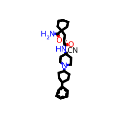 N#CC1(NC(=O)[CH]CC2(C(N)=O)CCCCC2)CCN(C2CCC(c3ccccc3)CC2)CC1